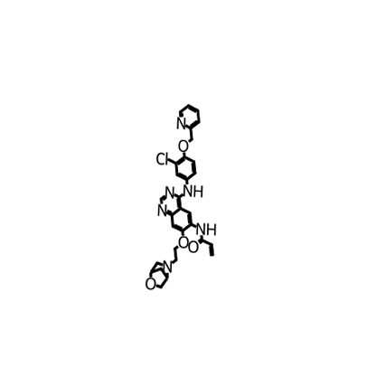 C=CC(=O)Nc1cc2c(Nc3ccc(OCc4ccccn4)c(Cl)c3)ncnc2cc1OCCN1CC2CC1CO2